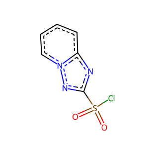 O=S(=O)(Cl)c1nc2ccccn2n1